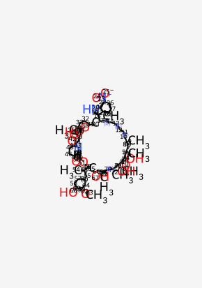 CO[C@H]1[C@@H](O)[C@H](C)C[C@H](C)/C=C/C=C/C=C(\C)C(c2c[nH]c3c([N+](=O)[O-])cccc23)CC2CC[C@@H](C)[C@@](O)(O2)C(=O)C(=O)N2CCCC[C@H]2C(=O)O[C@H]([C@H](C)C[C@@H]2CC[C@@H](O)[C@H](OC)C2)CC(O)[C@H](C)/C=C(\C)[C@H]1O